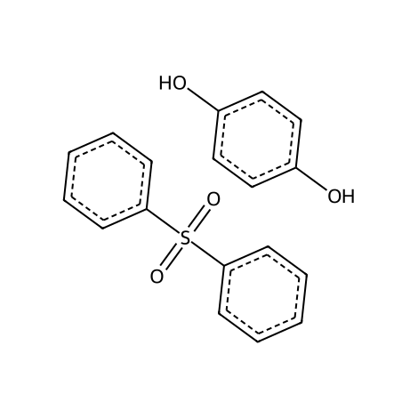 O=S(=O)(c1ccccc1)c1ccccc1.Oc1ccc(O)cc1